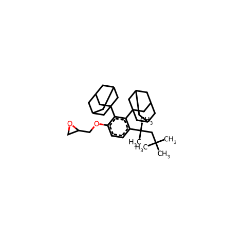 CC(C)(C)CC(C)(C)c1ccc(OCC2CO2)c(C23CC4CC(CC(C4)C2)C3)c1C12CC3CC(CC(C3)C1)C2